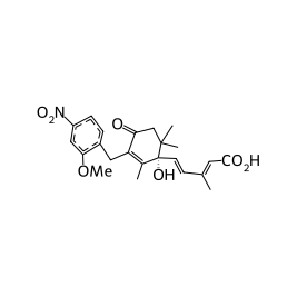 COc1cc([N+](=O)[O-])ccc1CC1=C(C)[C@](O)(C=CC(C)=CC(=O)O)C(C)(C)CC1=O